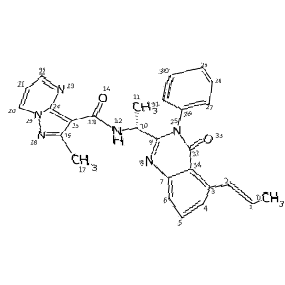 C/C=C/c1cccc2nc([C@@H](C)NC(=O)c3c(C)nn4cccnc34)n(-c3ccccc3)c(=O)c12